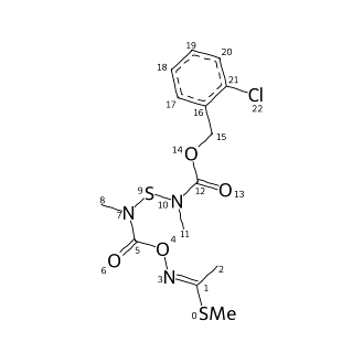 CSC(C)=NOC(=O)N(C)SN(C)C(=O)OCc1ccccc1Cl